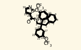 O=C(NCC(Cc1ccccc1)(c1cccc(OC(F)(F)F)c1)c1cccc(OC(F)(F)F)c1)c1ccno1